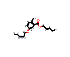 CCC=CCOC(=O)c1cc(OC/C=C\CC)ccc1C